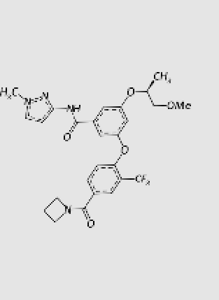 COC[C@H](C)Oc1cc(Oc2ccc(C(=O)N3CCC3)cc2C(F)(F)F)cc(C(=O)Nc2ccn(C)n2)c1